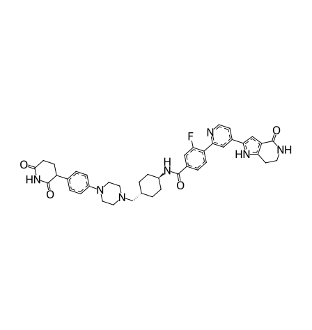 O=C1CCC(c2ccc(N3CCN(C[C@H]4CC[C@H](NC(=O)c5ccc(-c6cc(-c7cc8c([nH]7)CCNC8=O)ccn6)c(F)c5)CC4)CC3)cc2)C(=O)N1